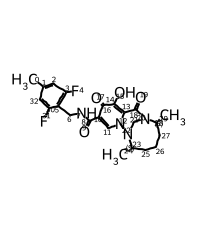 Cc1cc(F)c(CNC(=O)c2cn3c(c(O)c2=O)C(=O)N2CN3[C@@H](C)CCC[C@@H]2C)c(F)c1